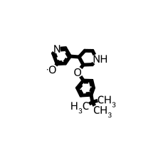 CC(C)(C)c1ccc(OC2CNCCC2c2cncc([O])c2)cc1